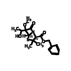 COC1(C(C)O)C(=O)N2[C@@H](C(=O)OCc3ccccc3)C(C)(C)S[C@@H]21